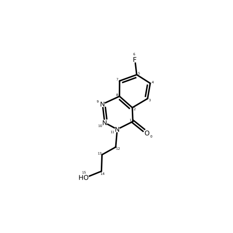 O=c1c2ccc(F)cc2nnn1CCCO